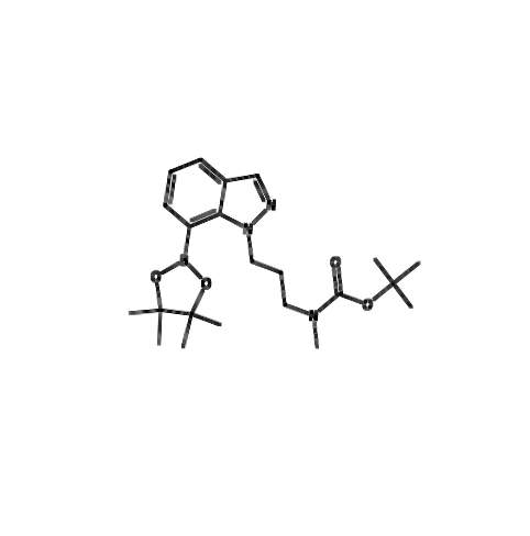 CN(CCCn1ncc2cccc(B3OC(C)(C)C(C)(C)O3)c21)C(=O)OC(C)(C)C